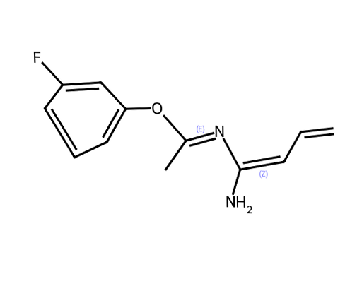 C=C/C=C(N)\N=C(/C)Oc1cccc(F)c1